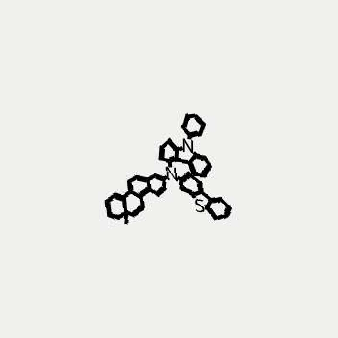 CC12C=Cc3c(ccc4cc(N(c5ccc6c(c5)sc5ccccc56)c5cccc6c5c5ccccc5n6-c5ccccc5)ccc34)C1=CC=CC2